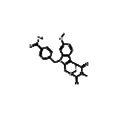 COc1ccc2c3c(n(Cc4ccc(C(=O)O)cc4)c2c1)CN1CC3C(=O)N(C)C1=O